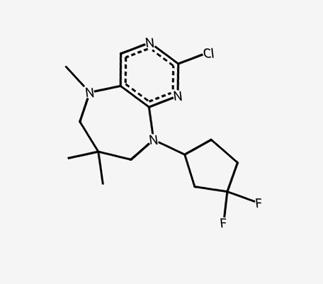 CN1CC(C)(C)CN(C2CCC(F)(F)C2)c2nc(Cl)ncc21